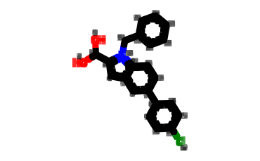 OC(O)c1[c]c2cc(-c3ccc(Cl)cc3)ccc2n1Cc1ccccc1